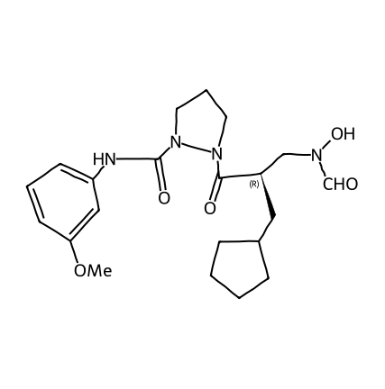 COc1cccc(NC(=O)N2CCCN2C(=O)[C@H](CC2CCCC2)CN(O)C=O)c1